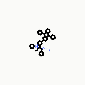 C=Cc1c(C(N)c2ccccc2)c2cc(-c3ccc4c(-c5ccccc5)c5ccccc5c(-c5ccccc5)c4c3)ccc2n1-c1ccccc1